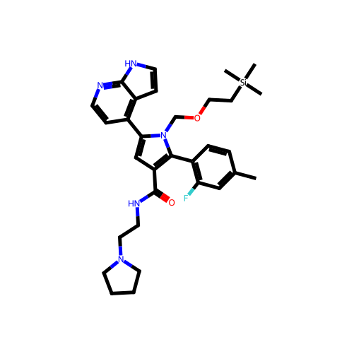 Cc1ccc(-c2c(C(=O)NCCN3CCCC3)cc(-c3ccnc4[nH]ccc34)n2COCC[Si](C)(C)C)c(F)c1